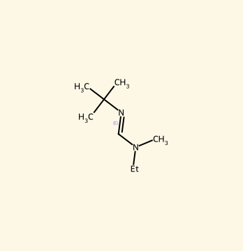 CCN(C)/C=N/C(C)(C)C